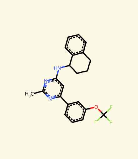 Cc1nc(NC2CCCc3ccccc32)cc(-c2cccc(OC(F)(F)F)c2)n1